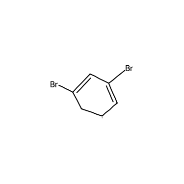 BrC1=C[CH]CC(Br)=C1